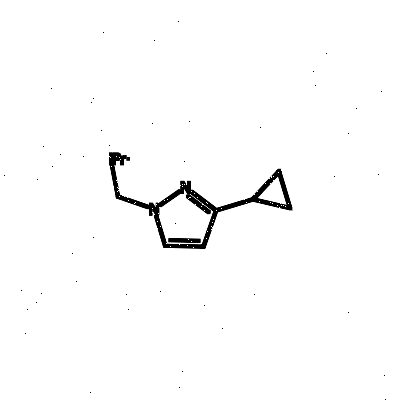 C[C](C)Cn1ccc(C2CC2)n1